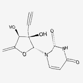 C#C[C@@]1(O)[C@H](O)C(=C)O[C@H]1n1ccc(=O)[nH]c1=O